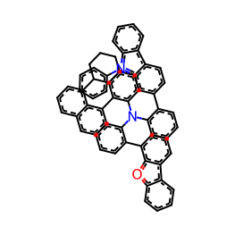 c1ccc(-n2c3ccccc3c3ccc(-c4ccccc4N(c4ccccc4-c4cccc5c4oc4ccccc45)c4ccccc4-c4cccc5cccc(C6CCCCC6)c45)cc32)cc1